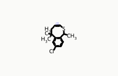 CC1S/C=C\CC(C)(C)c2cc(Cl)ccc21